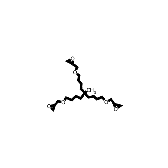 CC(CCCCOCC1CO1)(CCCCOCC1CO1)CCCCOCC1CO1